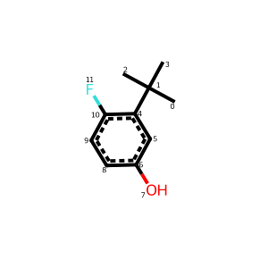 CC(C)(C)c1cc(O)ccc1F